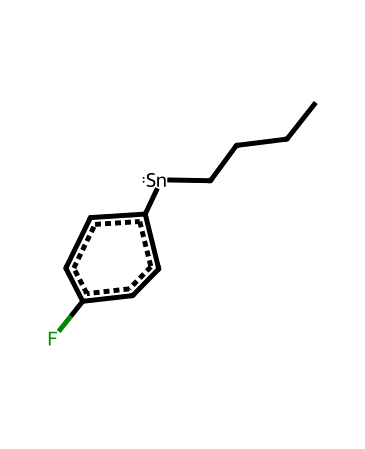 CCC[CH2][Sn][c]1ccc(F)cc1